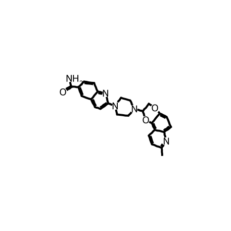 Cc1ccc2c3c(ccc2n1)OCC(N1CCN(c2ccc4cc(C(N)=O)ccc4n2)CC1)O3